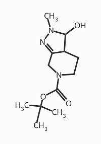 CN1N=C2CN(C(=O)OC(C)(C)C)CCC2C1O